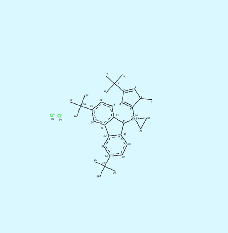 CC1C=C(C(C)(C)C)C=[C]1[Zr+2]1([CH]2c3ccc(C(C)(C)C)cc3-c3cc(C(C)(C)C)ccc32)[CH2][CH2]1.[Cl-].[Cl-]